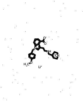 COc1ccc(Cn2cc(CCNCC34CCN(CC3)CC4)c3c(C(=O)[O-])cccc32)cc1.[Li+]